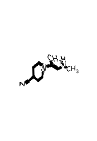 CN/C=C(\C)N1CCC(C#N)CC1